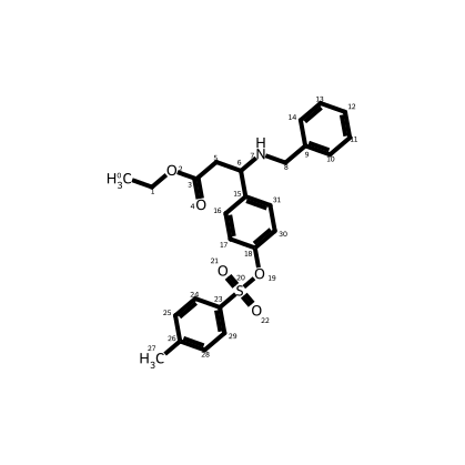 CCOC(=O)CC(NCc1ccccc1)c1ccc(OS(=O)(=O)c2ccc(C)cc2)cc1